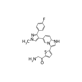 Cn1cc(C2=CN3C(c4ccc(C(=O)CN)s4)=CNC3C=C2)c(-c2ccc(F)cc2)n1